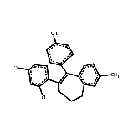 Cc1ccc(C2=C(c3ccc(Cl)cc3Cl)CCCc3cc(C)ccc32)cc1